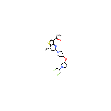 CNC(=O)c1csc2c(C(F)(F)F)cc(N3CCC(OC4CCN(C(CF)CF)C4)CC3)nc12